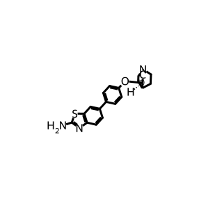 Nc1nc2ccc(-c3ccc(O[C@H]4CN5CCC4CC5)cc3)cc2s1